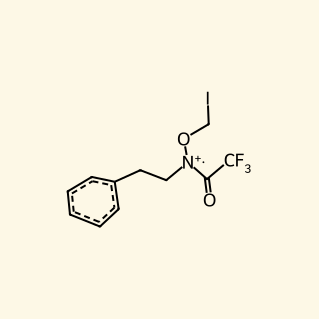 O=C([N+](CCc1ccccc1)OCI)C(F)(F)F